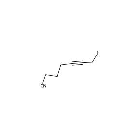 N#CCCCC#CCI